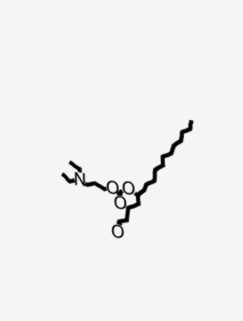 CCCCCCCCCCCCC(CCCC=O)OC(=O)OCCCN(CC)CC